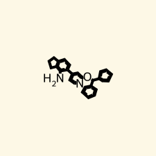 Nc1c(-c2ccnc(OC(c3ccccc3)c3ccccc3)c2)ccc2c1CCC2